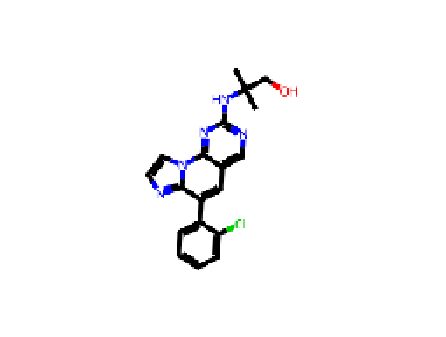 CC(C)(CO)Nc1ncc2cc(-c3ccccc3Cl)c3nccn3c2n1